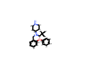 CC(C)(C)CN(Cc1ccccc1Oc1ccccc1)C1CCNCC1